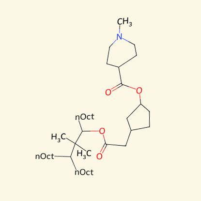 CCCCCCCCC(CCCCCCCC)C(C)(C)C(CCCCCCCC)OC(=O)CC1CCC(OC(=O)C2CCN(C)CC2)C1